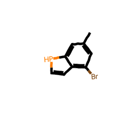 Cc1cc(Br)c2cc[pH]c2c1